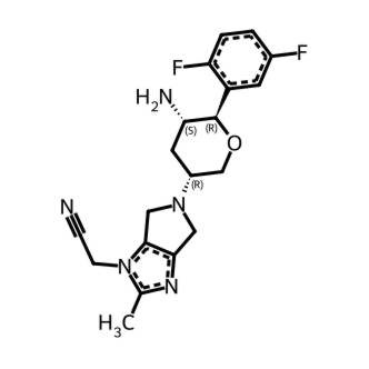 Cc1nc2c(n1CC#N)CN([C@H]1CO[C@H](c3cc(F)ccc3F)[C@@H](N)C1)C2